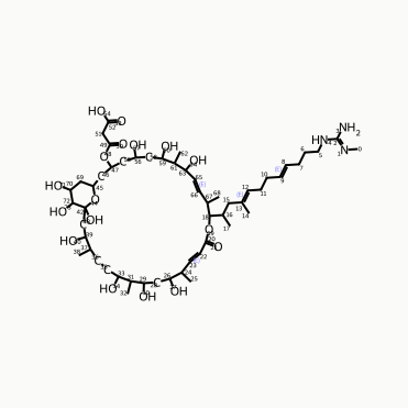 CN=C(N)NCCC/C=C/CC/C=C(\C)CC(C)C1OC(=O)/C=C/C(C)C(O)CC(O)C(C)C(O)CCC(C)C(O)CC2(O)OC(CC(OC(=O)CC(=O)O)CC(O)CC(O)C(C)C(O)/C=C/C1C)CC(O)C2O